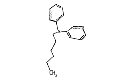 CCCCCC[Si](c1ccccc1)c1ccccc1